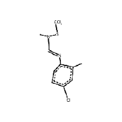 Cc1cc(Cl)ccc1N=CN(C)SC(Cl)(Cl)Cl